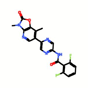 Cc1c(-c2cnc(NC(=O)c3c(F)cccc3F)cn2)cnc2c1oc(=O)n2C